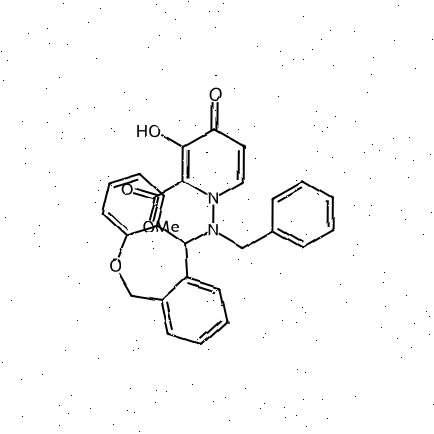 COC(=O)c1c(O)c(=O)ccn1N(Cc1ccccc1)C1c2ccccc2COc2ccccc21